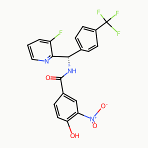 O=C(N[C@@H](c1ccc(C(F)(F)F)cc1)c1ncccc1F)c1ccc(O)c([N+](=O)[O-])c1